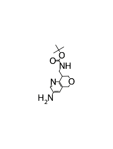 CC(C)(C)OC(=O)NCC1COCc2cc(N)cnc21